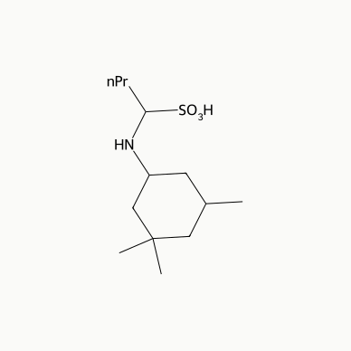 CCCC(NC1CC(C)CC(C)(C)C1)S(=O)(=O)O